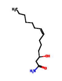 CCCCCC/C=C\CCCC(O)CC(N)=O